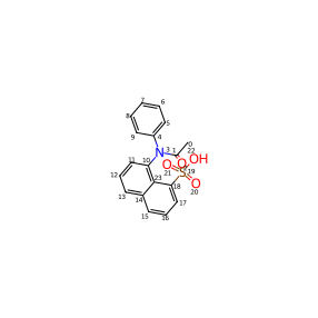 CC(=O)N(c1ccccc1)c1cccc2cccc(S(=O)(=O)O)c12